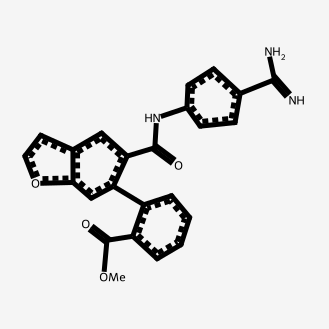 COC(=O)c1ccccc1-c1cc2occc2cc1C(=O)Nc1ccc(C(=N)N)cc1